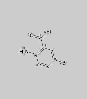 CCC(=O)c1cc(Br)ccc1N